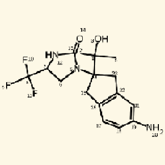 CC(C)(O)C1(N2CC(C(F)(F)F)NC2=O)Cc2ccc(N)cc2C1